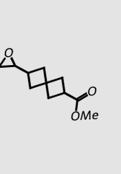 COC(=O)C1CC2(C1)CC(C1CO1)C2